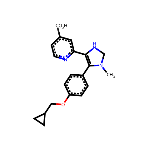 CN1CNC(c2cc(C(=O)O)ccn2)=C1c1ccc(OCC2CC2)cc1